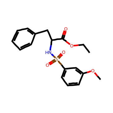 CCOC(=O)C(Cc1ccccc1)NS(=O)(=O)c1cccc(OC)c1